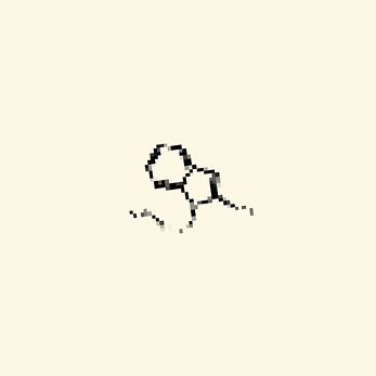 CCn1c(N)nc2ccccc21.CNC